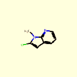 Cn1c(Cl)cc2cccnc21